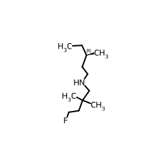 CC[C@@H](C)CCNCC(C)(C)CCF